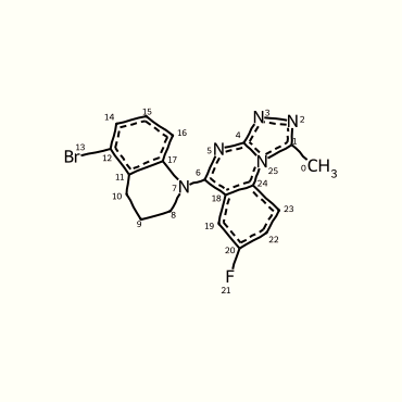 Cc1nnc2nc(N3CCCc4c(Br)cccc43)c3cc(F)ccc3n12